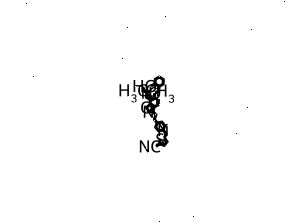 CN(C)Cc1c(OCC2CCCCC2O)ccc2c(CCC3CCN(Cc4ccc(C#N)s4)CC3)noc12